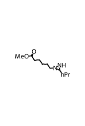 CCCC1NN1CCCCCC(=O)OC